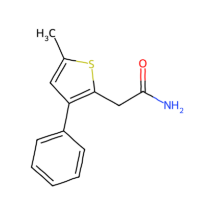 Cc1cc(-c2ccccc2)c(CC(N)=O)s1